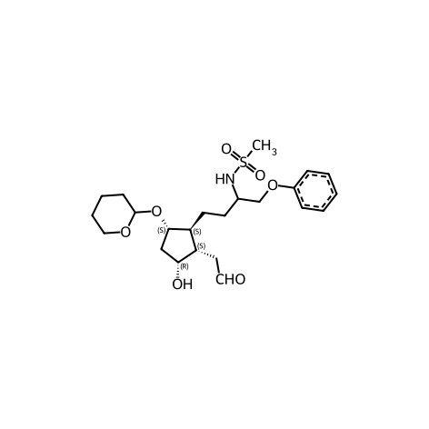 CS(=O)(=O)NC(CC[C@H]1[C@H](CC=O)[C@H](O)C[C@@H]1OC1CCCCO1)COc1ccccc1